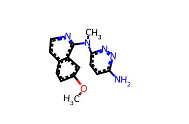 COc1ccc2ccnc(N(C)c3ccc(N)nn3)c2c1